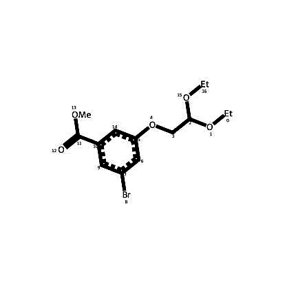 CCOC(COc1cc(Br)cc(C(=O)OC)c1)OCC